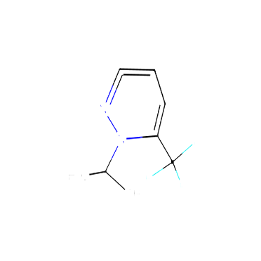 CC(C)N1N=C=CC=C1C(F)(F)F